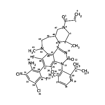 C=CC(=O)N1CC(C)N2c3nc(=O)n(-c4c(C)ccnc4C(C)C)c4c(Cl)c(-c5c(N)c(Cl)cc(Cl)c5F)c(F)c(c34)N(C)CCC2C1